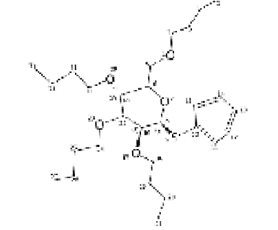 CCCCOCC1O[C@@H](Sc2ccccc2)[C@@H](OCCCC)C(OCCCC)[C@@H]1OCCCC